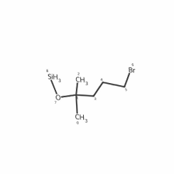 CC(C)(CCCBr)O[SiH3]